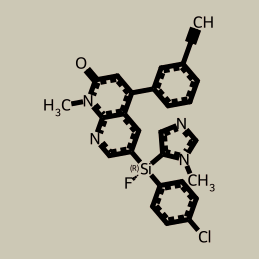 C#Cc1cccc(-c2cc(=O)n(C)c3ncc([Si@](F)(c4ccc(Cl)cc4)c4cncn4C)cc23)c1